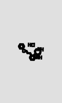 Cl.c1ccc(OCCCc2cccc3[nH]c4c(c23)CCNCC4)cc1